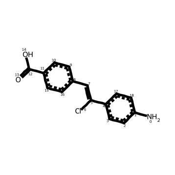 Nc1ccc(C(Cl)=Cc2ccc(C(=O)O)cc2)cc1